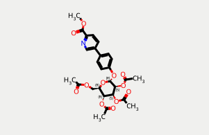 COC(=O)c1ccc(-c2ccc(O[C@H]3O[C@H](COC(C)=O)[C@@H](OC(C)=O)[C@H](OC(C)=O)[C@@H]3OC(C)=O)cc2)cn1